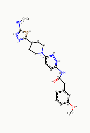 O=CNc1nnc(C2CCN(c3ccc(NC(=O)Cc4cccc(OC(F)(F)F)c4)nn3)CC2)s1